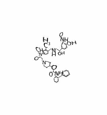 CCN(C(=O)CCN1CCC(OC(=O)Nc2ccccc2-c2ccccc2)CC1)c1ccc(CNCC(O)c2ccc(O)c(NC=O)c2)c(C)c1